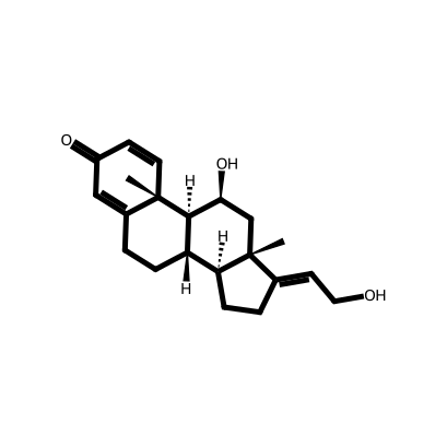 C[C@]12C=CC(=O)C=C1CC[C@@H]1[C@@H]2[C@@H](O)C[C@]2(C)C(=CCO)CC[C@@H]12